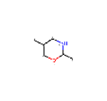 CC1CNC(C)OC1